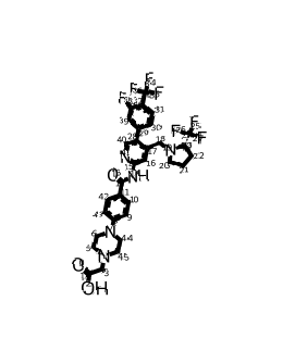 O=C(O)CN1CCN(c2ccc(C(=O)Nc3cc(CN4CCC[C@H]4C(F)(F)F)c(-c4ccc(C(F)(F)F)c(F)c4)cn3)cc2)CC1